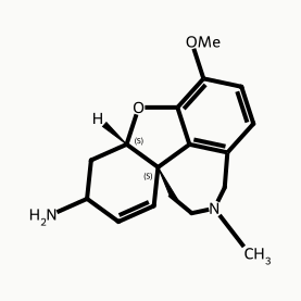 COc1ccc2c3c1O[C@H]1CC(N)C=C[C@@]31CCN(C)C2